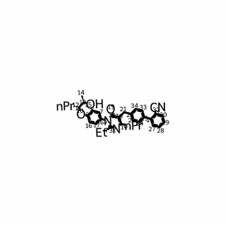 CCCc1nc(CC)n(-c2ccc(O[C@H](CCC)[C@@H](C)O)cc2)c(=O)c1Cc1ccc(-c2ccccc2C#N)cc1